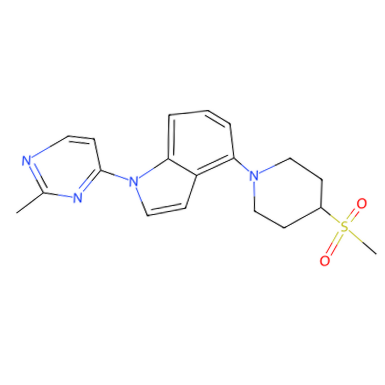 Cc1nccc(-n2ccc3c(N4CCC(S(C)(=O)=O)CC4)cccc32)n1